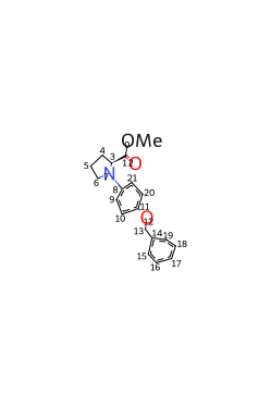 COC(=O)[C@@H]1CCCN1c1ccc(OCc2ccccc2)cc1